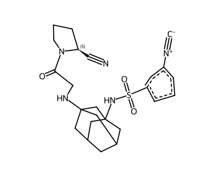 [C-]#[N+]c1cccc(S(=O)(=O)NC23CC4CC(CC(NCC(=O)N5CCC[C@H]5C#N)(C4)C2)C3)c1